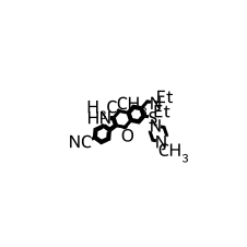 CCN(CC)Cc1cc2c(cc1SN1CCN(C)CC1)C(=O)c1c([nH]c3cc(C#N)ccc13)C2(C)C